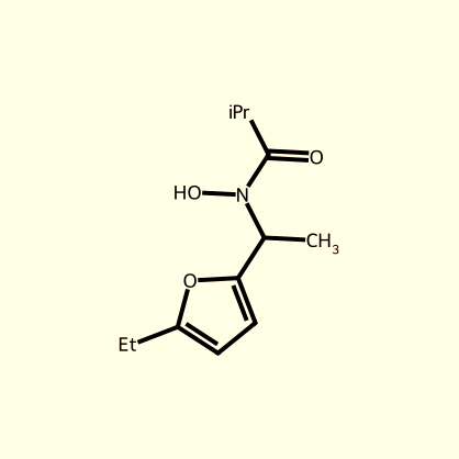 CCc1ccc(C(C)N(O)C(=O)C(C)C)o1